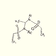 C=CS(=O)(=O)N(C(C)=O)C(C)N(C(C)=O)S(=O)(=O)C=C